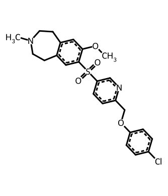 COc1cc2c(cc1S(=O)(=O)c1ccc(COc3ccc(Cl)cc3)nc1)CCN(C)CC2